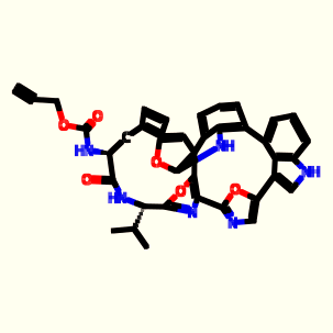 C#CCOC(=O)N[C@H]1Cc2ccc3c(c2)C24c5cccc(c5NC2O3)-c2cccc3[nH]cc(c23)-c2cnc(o2)-c2nc(oc24)[C@H](C(C)C)NC1=O